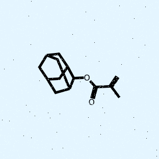 C=C(C)C(=O)OC1C2CC3CC(C2)CC1C3